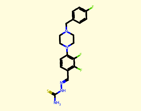 NC(=S)N/N=C/c1ccc(N2CCN(Cc3ccc(F)cc3)CC2)c(F)c1F